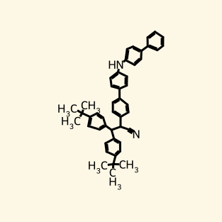 CC(C)(C)c1ccc(C(c2ccc(C(C)(C)C)cc2)C(C#N)c2ccc(-c3ccc(Nc4ccc(-c5ccccc5)cc4)cc3)cc2)cc1